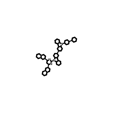 c1ccc(-c2ccc(-n3c4ccccc4c4cc(-c5ccc6c(c5)c5ccccc5n6-c5nc(-c6ccc7ccccc7c6)cc(-c6ccc7ccccc7c6)n5)ccc43)cc2)cc1